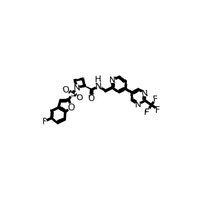 O=C(NCc1cc(-c2cnc(C(F)(F)F)nc2)ccn1)[C@@H]1CCN1S(=O)(=O)c1cc2cc(F)ccc2o1